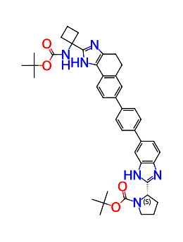 CC(C)(C)OC(=O)NC1(c2nc3c([nH]2)-c2ccc(-c4ccc(-c5ccc6nc([C@@H]7CCCN7C(=O)OC(C)(C)C)[nH]c6c5)cc4)cc2CC3)CCC1